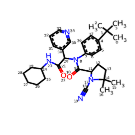 CC(C)(C)c1ccc(N(C(=O)C2CCC(C)(C)N2C#N)C(C(=O)NC2CCCCC2)c2cccnc2)cc1